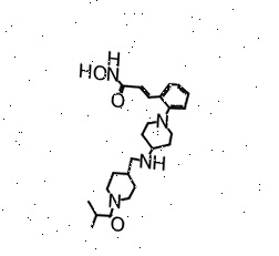 CC(C)C(=O)N1CCC(CNC2CCN(c3ccccc3/C=C/C(=O)NO)CC2)CC1